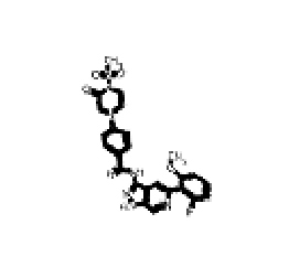 COc1cccc(F)c1-c1cc2c(NC(=O)c3ccc(N4CCN(S(C)(=O)=O)C(=O)C4)cc3)n[nH]c2cn1